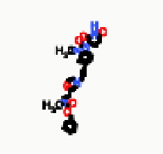 CN(CC[C@H]1CN(CC#Cc2ccc3c(c2)n(C)c(=O)n3C2CCC(=O)NC2=O)CCO1)C(=O)OCc1ccccc1